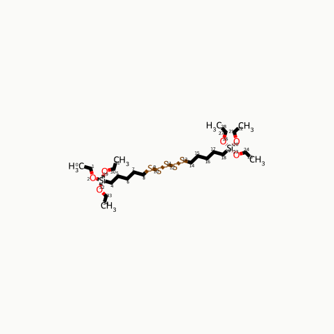 CCO[Si](CCCCCSSSSSCCCCC[Si](OCC)(OCC)OCC)(OCC)OCC